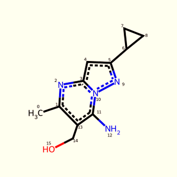 Cc1nc2cc(C3CC3)nn2c(N)c1CO